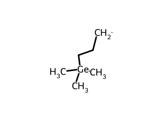 [CH2]C[CH2][Ge]([CH3])([CH3])[CH3]